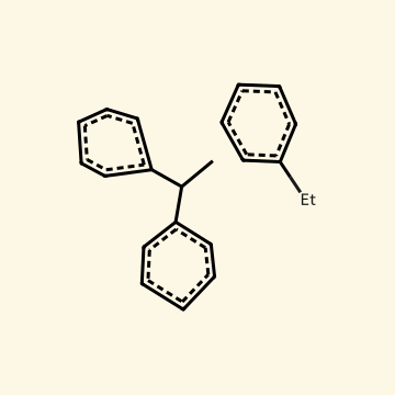 CC(c1ccccc1)c1ccccc1.CCc1ccccc1